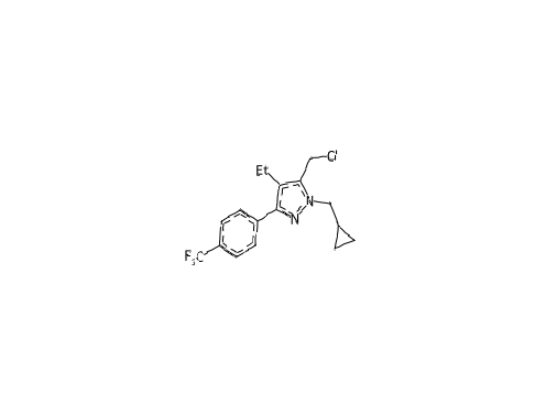 CCc1c(-c2ccc(C(F)(F)F)cc2)nn(CC2CC2)c1CCl